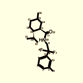 Cc1cccc(C(F)(F)CNC(=O)[C@@H]2CC(C)CC[C@H]2C(C)C)c1